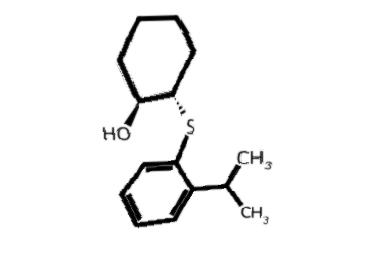 CC(C)c1ccccc1S[C@H]1CCCC[C@@H]1O